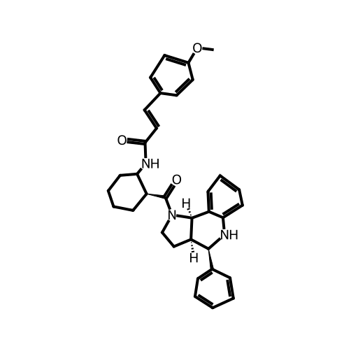 COc1ccc(/C=C/C(=O)NC2CCCC[C@@H]2C(=O)N2CC[C@@H]3[C@H](c4ccccc4)Nc4ccccc4[C@@H]32)cc1